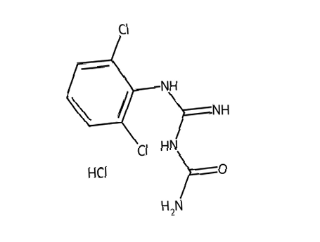 Cl.N=C(NC(N)=O)Nc1c(Cl)cccc1Cl